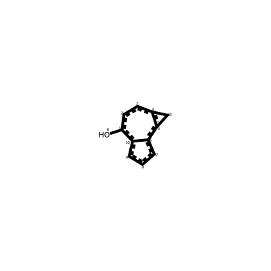 Oc1ccc2c(c3cccc1-3)C2